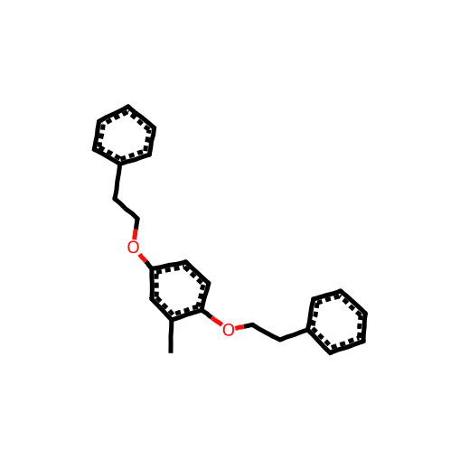 Cc1cc(OCCc2ccccc2)ccc1OCCc1ccccc1